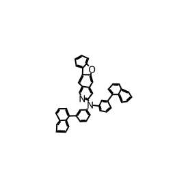 c1cc(-c2cccc3ccccc23)cc(N(c2cccc(-c3cccc4ccccc34)c2)c2cc3cc4oc5ccccc5c4cc3cn2)c1